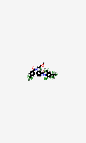 COCCCN(C(=O)c1ccc(C(F)(F)F)cc1)c1cccc(C(=O)Nc2c(Br)cc(C(F)(C(F)(F)F)C(F)(F)F)cc2C(F)(F)F)c1F